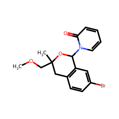 COCC1(C)Cc2ccc(Br)cc2C(n2ccccc2=O)O1